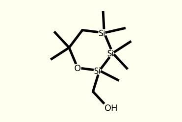 CC1(C)C[Si](C)(C)[Si](C)(C)[Si](C)(CO)O1